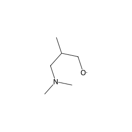 CC(C[O])CN(C)C